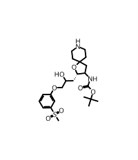 CC(C)(C)OC(=O)NC1CC2(CCNCC2)O[C@H]1CC(O)COc1cccc(S(C)(=O)=O)c1